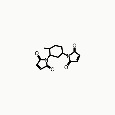 CC1CCC(N2C(=O)C=CC2=O)CC1N1C(=O)C=CC1=O